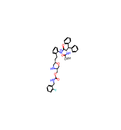 COC(=O)N[C@H](C(=O)Nc1ccccc1CC[C@@H]1CN[C@H](COC(=O)NCc2ccccc2F)CO1)C(c1ccccc1)c1ccccc1